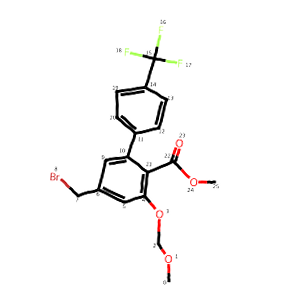 COCOc1cc(CBr)cc(-c2ccc(C(F)(F)F)cc2)c1C(=O)OC